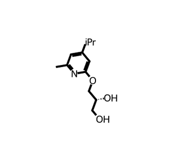 Cc1cc(C(C)C)cc(OC[C@H](O)CO)n1